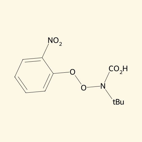 CC(C)(C)N(OOc1ccccc1[N+](=O)[O-])C(=O)O